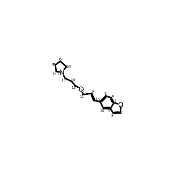 C(=C\c1ccc2occc2c1)/COCCCN1CCCC1